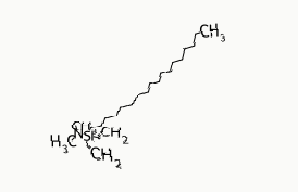 C=C[Si](C=C)(CCCCCCCCCCCCCCCCCC)N(C)C